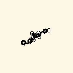 O=C1CN(S(=O)(=O)C=Cc2ccc(Cl)cc2)CC2OC3(CCN(Cc4ccccc4)CC3)CN12